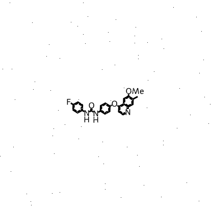 COc1cc2c(Oc3ccc(NC(=O)Nc4ccc(F)cc4)cc3)ccnc2cc1C